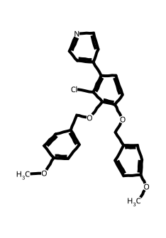 COc1ccc(COc2ccc(-c3ccncc3)c(Cl)c2OCc2ccc(OC)cc2)cc1